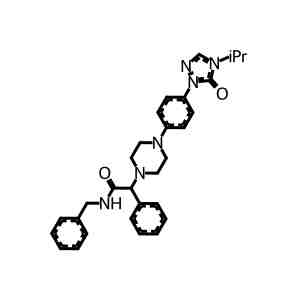 CC(C)n1cnn(-c2ccc(N3CCN(C(C(=O)NCc4ccccc4)c4ccccc4)CC3)cc2)c1=O